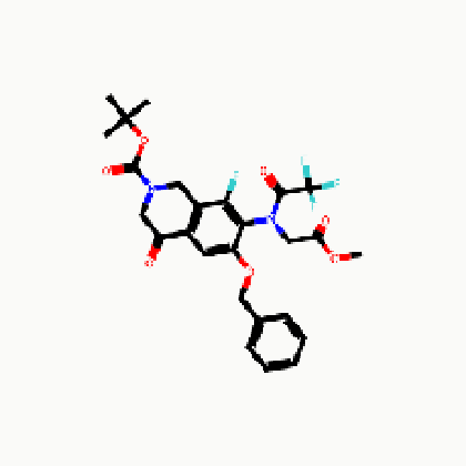 COC(=O)CN(C(=O)C(F)(F)F)c1c(OCc2ccccc2)cc2c(c1F)CN(C(=O)OC(C)(C)C)CC2=O